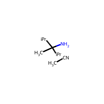 CC#N.CC(C)C(C)(N)C(C)C